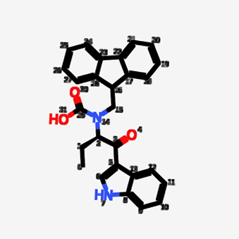 CC[C@H](C(=O)c1c[nH]c2ccccc12)N(CC1c2ccccc2-c2ccccc21)C(=O)O